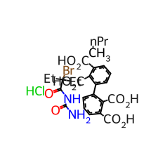 CCC(Br)(CC)C(=O)NC(N)=O.CCCC.Cl.O=C(O)c1cccc(-c2cccc(C(=O)O)c2C(=O)O)c1C(=O)O